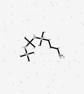 CC(C)(O[Si](C)(C)C)O[Si](C)(C)CCCN